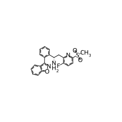 CS(=O)(=O)c1ccc(F)c(C[C@H](N)c2ccccc2-c2noc3ccccc23)n1